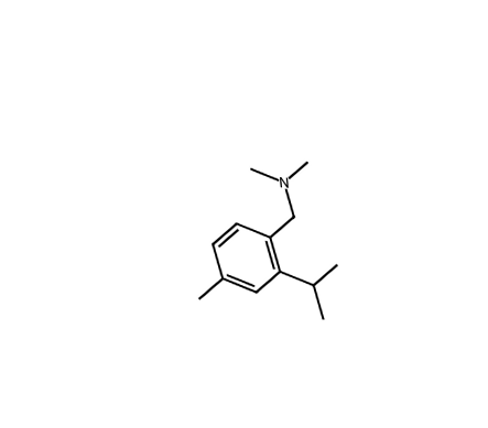 Cc1ccc(CN(C)C)c(C(C)C)c1